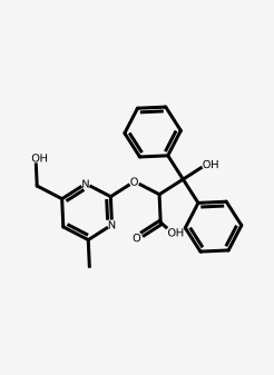 Cc1cc(CO)nc(OC(C(=O)O)C(O)(c2ccccc2)c2ccccc2)n1